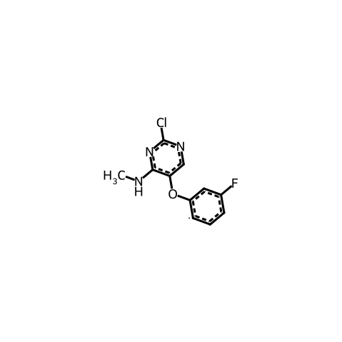 CNc1nc(Cl)ncc1Oc1[c]ccc(F)c1